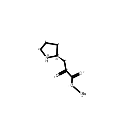 CC(C)(C)OC(=O)C(=O)C[C@@H]1CCCN1